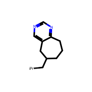 CC(C)CC1CCCc2ncncc2C1